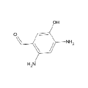 Nc1cc(N)c(C=O)cc1O